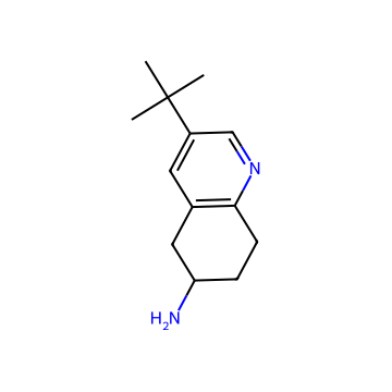 CC(C)(C)c1cnc2c(c1)CC(N)CC2